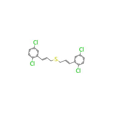 Clc1ccc(Cl)c(C=CCSCC=Cc2cc(Cl)ccc2Cl)c1